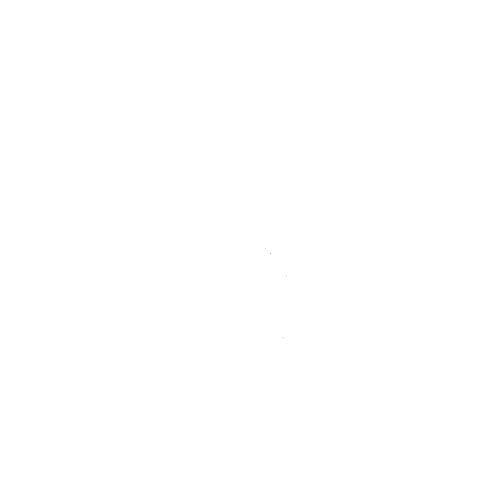 O=C(O)C1=C(O)C(=O)N(Cc2cccc(C(F)(F)F)c2)C1